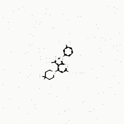 CCOC(=O)c1cc(N2CCC(F)(F)CC2)c2c(C(C)C)nn(-c3cccc(C)c3)c2n1